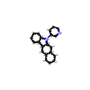 c1cncc(-n2c3ccccc3c3cc4ccccc4cc32)c1